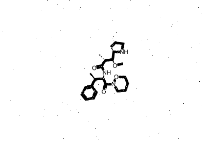 CO[C@@H]([C@@H]1CCCN1)[C@@H](C)C(=O)N[C@H](C(=O)N1CCCCO1)[C@H](C)c1ccccc1